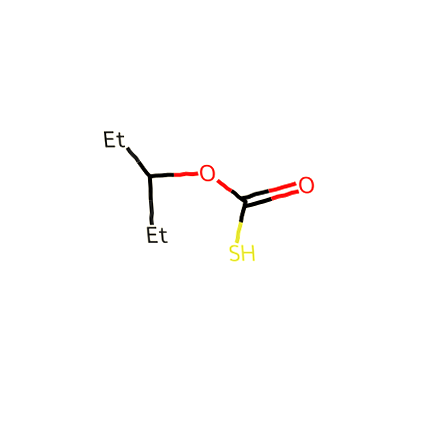 CCC(CC)OC(=O)S